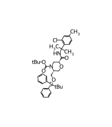 Cc1ccc(C(C)(C)NC(=O)[C@@H]2CN(C(=O)OC(C)(C)C)[C@H](CO[Si](c3ccccc3)(c3ccccc3)C(C)(C)C)CO2)c(Cl)c1